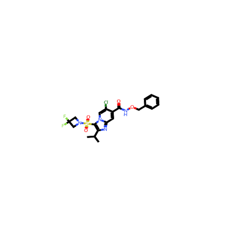 CC(C)c1nc2cc(C(=O)NOCc3ccccc3)c(Cl)cn2c1S(=O)(=O)N1CC(F)(F)C1